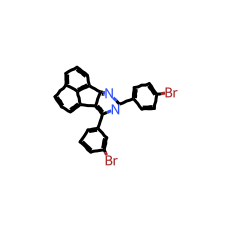 Brc1ccc(-c2nc(-c3cccc(Br)c3)c3c(n2)-c2cccc4cccc-3c24)cc1